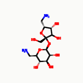 NCC1O[C@@H](O[C@]2(CO)O[C@H](CN)[C@H](O)C2O)C(O)[C@@H](O)[C@@H]1O